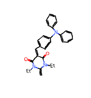 C=c1n(CC)c(=O)c(=Cc2ccc(N(c3ccccc3)c3ccccc3)cc2)c(=O)n1CC